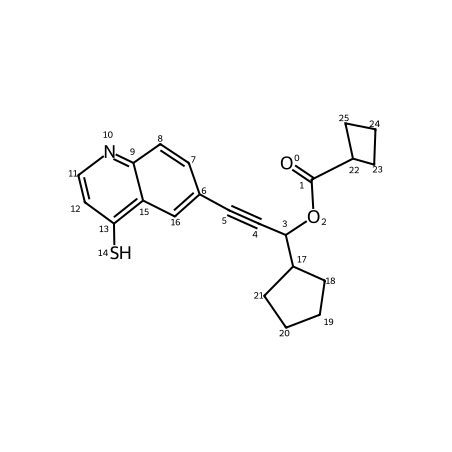 O=C(OC(C#Cc1ccc2nccc(S)c2c1)C1CCCC1)C1CCC1